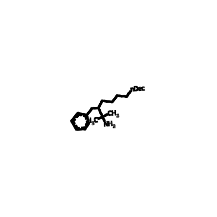 CCCCCCCCCCCCCCC(Cc1ccccc1)C(C)(C)N